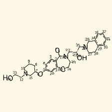 O=C1c2ccc(OC3CCCN(CCO)C3)cc2OCCN1C[C@H](O)CN1CCc2ccccc2C1